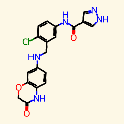 O=C1COc2cc(NCc3cc(NC(=O)c4cn[nH]c4)ccc3Cl)ccc2N1